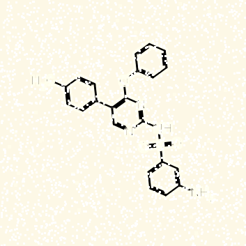 Cc1ccc(-c2cnc(NS(=O)(=O)c3cccc(N)c3)nc2Oc2ccccc2)cc1